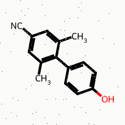 Cc1cc(C#N)cc(C)c1-c1ccc(O)cc1